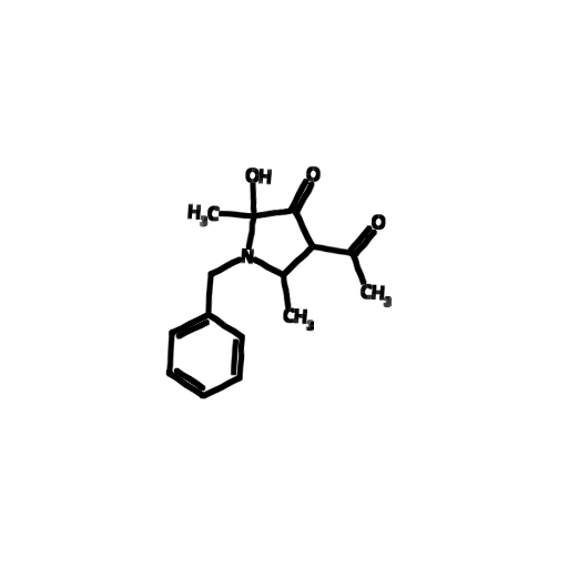 CC(=O)C1C(=O)C(C)(O)N(Cc2ccccc2)C1C